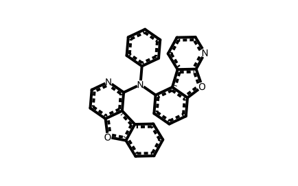 c1ccc(N(c2nccc3oc4ccccc4c23)c2cccc3oc4ncccc4c23)cc1